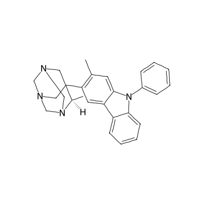 Cc1cc2c(cc1C13CN4CN(CN(C4)[C@@H]1C)C3)c1ccccc1n2-c1ccccc1